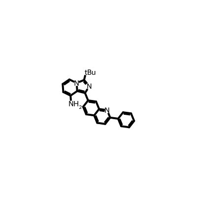 CC(C)(C)c1nc(-c2ccc3ccc(-c4ccccc4)nc3c2)c2c(N)cccn12